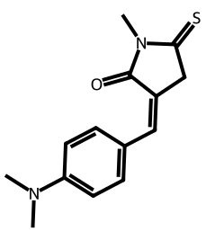 CN1C(=O)/C(=C\c2ccc(N(C)C)cc2)CC1=S